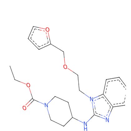 CCOC(=O)N1CCC(Nc2nc3ccccc3n2CCOCc2ccco2)CC1